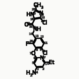 CCc1cc(N)cc(Oc2c(Cl)ccc(CNC(=O)c3[nH]c(C)nc3Cl)c2F)n1